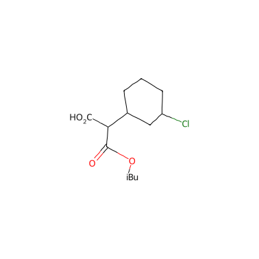 CCC(C)OC(=O)C(C(=O)O)C1CCCC(Cl)C1